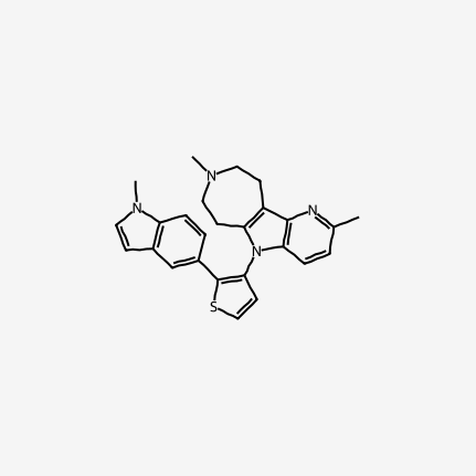 Cc1ccc2c(n1)c1c(n2-c2ccsc2-c2ccc3c(ccn3C)c2)CCN(C)CC1